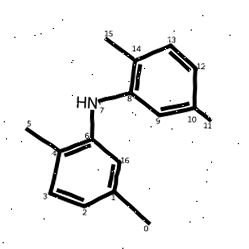 Cc1[c]cc(C)c(Nc2cc(C)ccc2C)c1